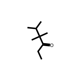 CCC(=O)C(C)(C)C(C)C